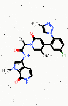 CCC(C(=O)Nc1cn(C)c2c(=O)[nH]ccc12)n1cc(OC)c(-c2cc(Cl)ccc2-n2cc(C(F)(F)F)nn2)cc1=O